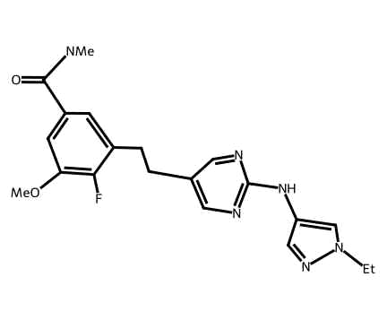 CCn1cc(Nc2ncc(CCc3cc(C(=O)NC)cc(OC)c3F)cn2)cn1